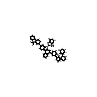 CC1(C)c2ccccc2-c2ccc(-c3ccc4c5c6ccccc6c6c7cc8c9ccccc9n(-c9ccccc9-c9ccccc9)c8cc7sc6c5n(C5Nc6ccccc6S5)c4c3)cc21